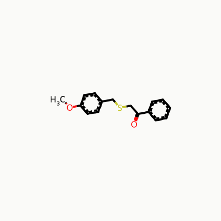 COc1ccc(CSCC(=O)c2ccccc2)cc1